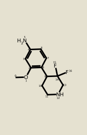 COc1cc(N)ccc1C1CCNCC1(F)F